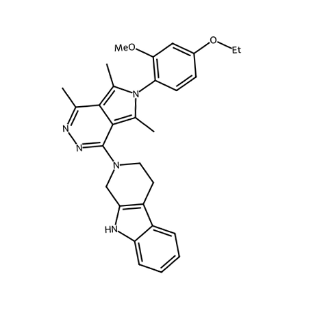 CCOc1ccc(-n2c(C)c3c(C)nnc(N4CCc5c([nH]c6ccccc56)C4)c3c2C)c(OC)c1